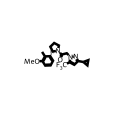 COc1cccc([C@@H]2CCCN2C(=O)Cn2nc(C3CC3)cc2C(F)(F)F)c1C